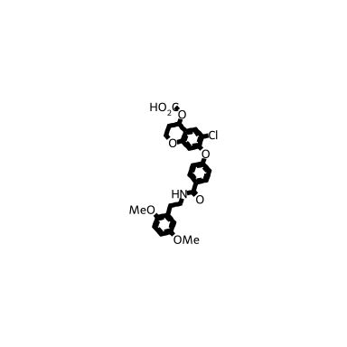 COc1ccc(OC)c(CCNC(=O)c2ccc(Oc3cc4c(cc3Cl)C(OC(=O)O)CCO4)cc2)c1